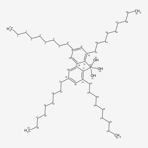 CCCCCCCCCc1ccc(P(O)(O)(O)c2ccc(CCCCCCCCC)cc2CCCCCCCCC)c(CCCCCCCCC)c1